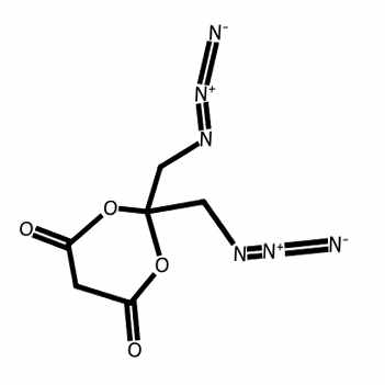 [N-]=[N+]=NCC1(CN=[N+]=[N-])OC(=O)CC(=O)O1